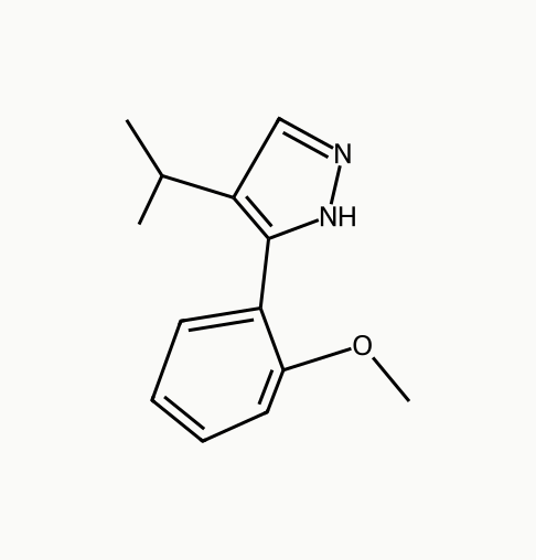 COc1ccccc1-c1[nH]ncc1C(C)C